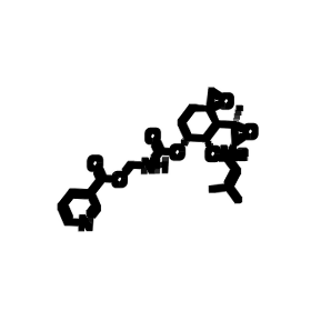 CO[C@@H]1[C@H](OC(=O)NCOC(=O)c2cccnc2)CC[C@]2(CO2)[C@H]1[C@@]1(C)O[C@@H]1CC=C(C)C